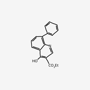 CCOC(=O)c1cnc2c(-c3ccccc3)cccc2c1O